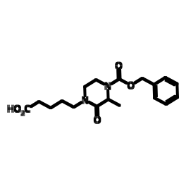 CC1C(=O)N(CCCCC(=O)O)CCN1C(=O)OCc1ccccc1